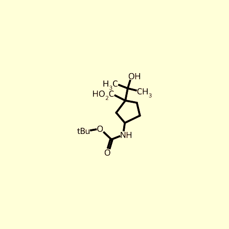 CC(C)(C)OC(=O)NC1CCC(C(=O)O)(C(C)(C)O)C1